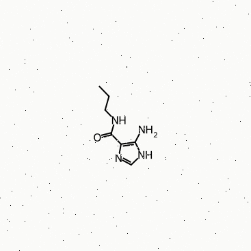 CCCNC(=O)c1nc[nH]c1N